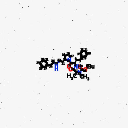 C[C@@H](C(=O)N[C@@H](CCc1ccccc1)C(=O)N1CCC[C@H]1CCNCCc1ccccc1)N(C)C(=O)OC(C)(C)C